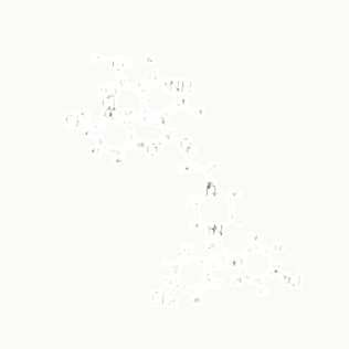 COC(=O)C1=C(C)NC(C)=C(C(=O)OCCN2CCN(C(c3ccc(Cl)cc3)c3ccc(Cl)cc3)CC2)C1c1cccc(Cl)c1Cl